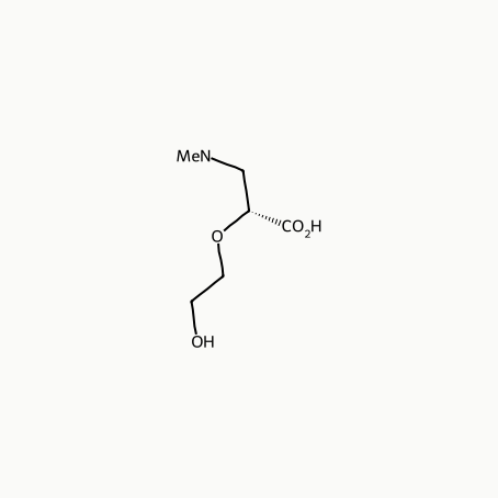 CNC[C@@H](OCCO)C(=O)O